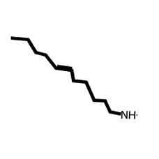 CCCCC=CCCCCC[NH]